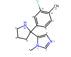 Cn1cncc1C1(c2ccc(C#N)c(F)c2)CCCN1